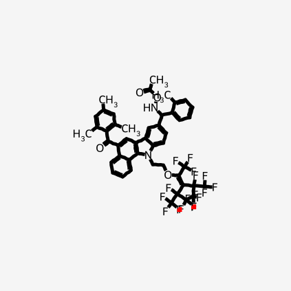 CC(=O)ONC(c1ccc2c(c1)c1cc(C(=O)c3c(C)cc(C)cc3C)c3ccccc3c1n2CCOC(=C(C(F)(C(F)(F)F)C(F)(F)F)C(F)(C(F)(F)F)C(F)(F)F)C(F)(F)F)c1ccccc1C